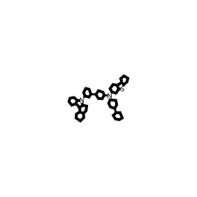 c1ccc(-c2ccc(N(c3ccc(-c4cccc(-n5c6ccccc6c6c7ccccc7ccc65)c4)cc3)c3ccc4c(c3)sc3ccccc34)cc2)cc1